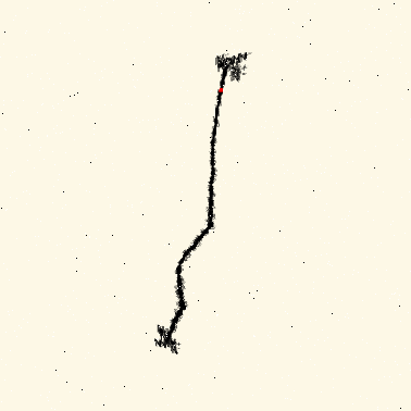 [N-]=[N+]=NC(C#CC#CC#CC#CC#CC#CC#CC#CC#CC#CC#CC#CC#CC#CC#CC#CC#CC#CC#CC#CC#CC#CC#CC#CC#CC#CC#CC#CC#CC(N=[N+]=[N-])(N=[N+]=[N-])N=[N+]=[N-])(N=[N+]=[N-])N=[N+]=[N-]